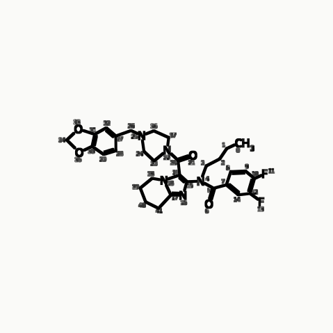 CCCCN(C(=O)c1ccc(F)c(F)c1)c1nc2n(c1C(=O)N1CCN(Cc3ccc4c(c3)OCO4)CC1)CCCC2